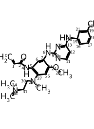 C=CC(=O)Nc1cc(Nc2nccc(Nc3cccc(Cl)c3)n2)c(OC)cc1N(C)CCN(C)C